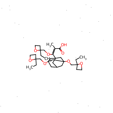 CCC1(COC(=C(C)C(=O)O)C23CC4CC(OCC5(CC)CCO5)(CC(OCC5(CC)CCO5)(C4)C2)C3)CCO1